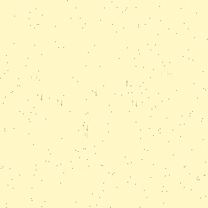 CCN(CN1CNCN(N=O)C1)N=O